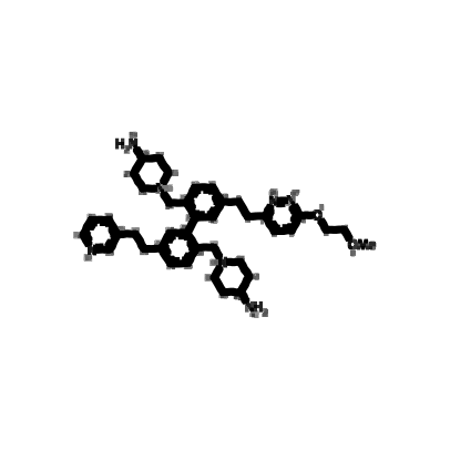 COCCOc1ccc(CCc2ccc(CN3CCC(N)CC3)c(-c3cc(CCc4cccnc4)ccc3CN3CCC(N)CC3)c2)nn1